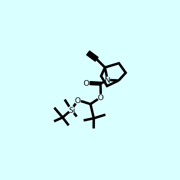 C#CC12CCC(CC1)N2C(=O)OC(O[Si](C)(C)C(C)(C)C)C(C)(C)C